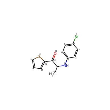 CC(Nc1ccc(Br)cc1)C(=O)c1cccs1